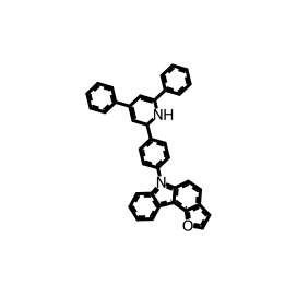 C1=C(c2ccccc2)C=C(c2ccccc2)NC1c1ccc(-n2c3ccccc3c3c4occc4ccc32)cc1